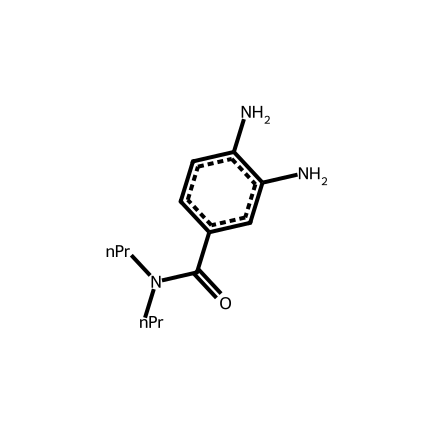 CCCN(CCC)C(=O)c1ccc(N)c(N)c1